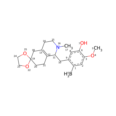 Bc1cc(OC)c(O)cc1CC1C2=C(CCN1C)CC1(CC2)OCCO1